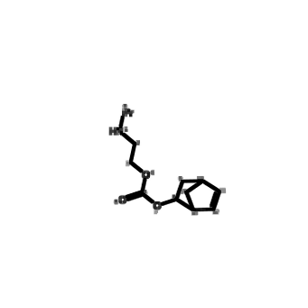 CC(C)NCCOC(=O)OC1CC2C=CC1C2